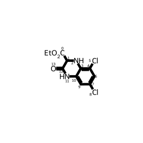 CCOC(=O)C1Nc2c(Cl)cc(Cl)cc2NC1=O